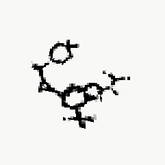 CN(C(=O)O)c1cc2cc(C3CC3C(=O)N3CCC(F)(F)CC3)cc(C(F)(F)F)c2o1